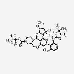 COC1CN(c2nc(-c3c(F)cccc3OC(=O)OC(C)(C)C)c(Cl)c3c2C(=O)N2CCN(C(=O)OC(C)(C)C)CC2CO3)C(C)(C)C1